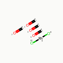 [C]=O.[C]=O.[C]=O.[C]=O.[Cl][Rh][Cl]